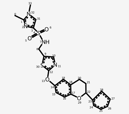 Cc1nc(S(=O)(=O)NCc2cnc(Oc3ccc4c(c3)CCC(c3ccccc3)O4)s2)cn1C